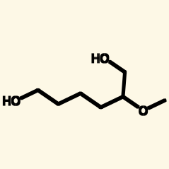 COC(CO)CCCCO